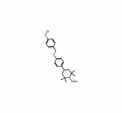 CCOc1ccc(COc2ccc(C3CC(C)(C)N(OC)C(C)(C)C3)cc2)cc1